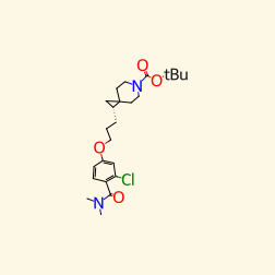 CN(C)C(=O)c1ccc(OCCC[C@@H]2CC23CCN(C(=O)OC(C)(C)C)CC3)cc1Cl